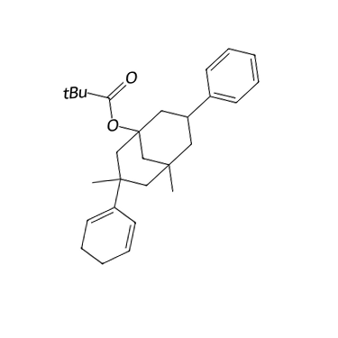 CC12CC(c3ccccc3)CC(OC(=O)C(C)(C)C)(C1)CC(C)(C1=CCCC=C1)C2